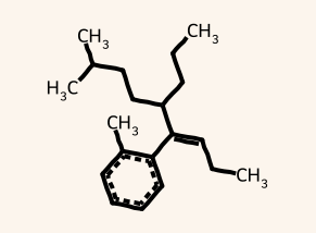 CC/C=C(\c1ccccc1C)C(CCC)CCC(C)C